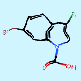 O=C(O)n1cc(Cl)c2ccc(Br)cc21